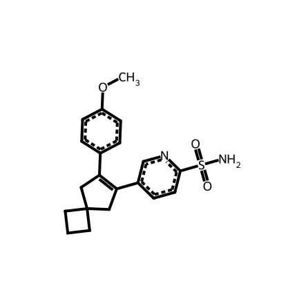 COc1ccc(C2=C(c3ccc(S(N)(=O)=O)nc3)CC3(CCC3)C2)cc1